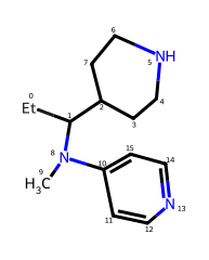 CCC(C1CCNCC1)N(C)c1ccncc1